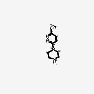 CCCc1ccc(N2CCNCC2)nn1